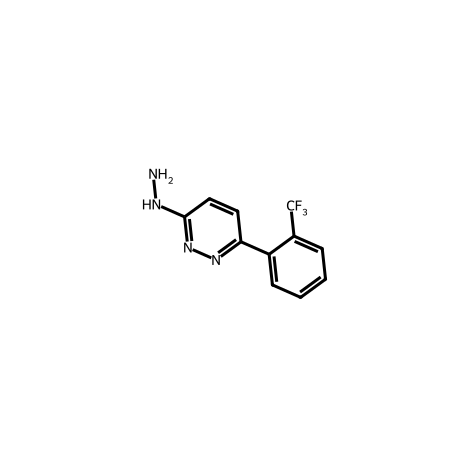 NNc1ccc(-c2ccccc2C(F)(F)F)nn1